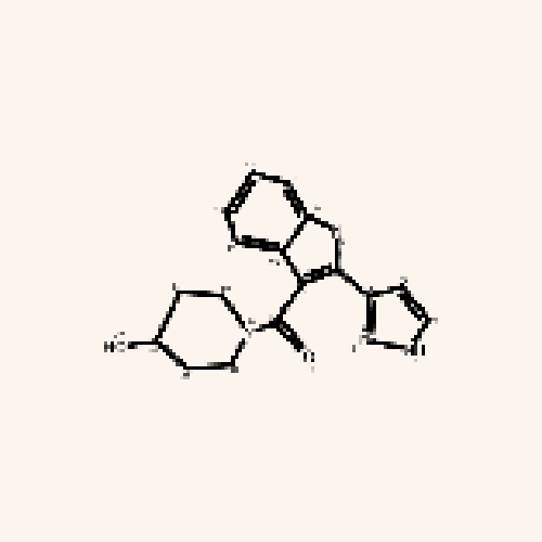 O=C(c1c(-c2cc[nH]n2)[nH]c2ccccc12)N1CCC(O)CC1